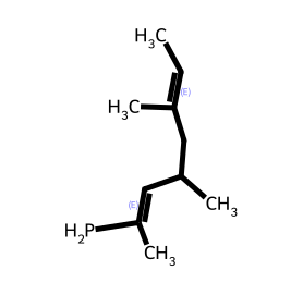 C/C=C(\C)CC(C)/C=C(\C)P